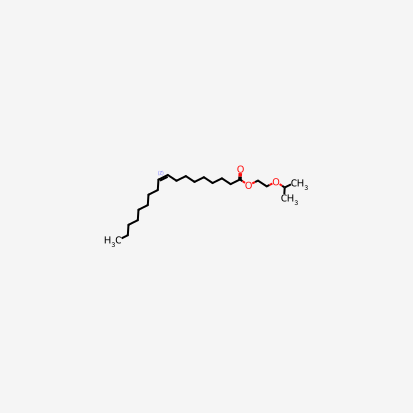 CCCCCCCC/C=C\CCCCCCCC(=O)OCCOC(C)C